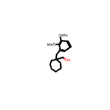 COc1cccc(CC2(CO)CCCCCC2)c1OC